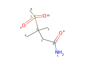 CC(C)(CC(N)=O)S(C)(=O)=O